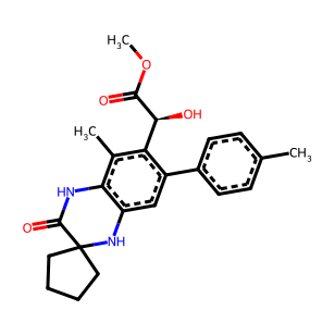 COC(=O)[C@@H](O)c1c(-c2ccc(C)cc2)cc2c(c1C)NC(=O)C1(CCCC1)N2